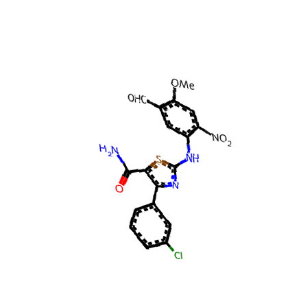 COc1cc([N+](=O)[O-])c(Nc2nc(-c3cccc(Cl)c3)c(C(N)=O)s2)cc1C=O